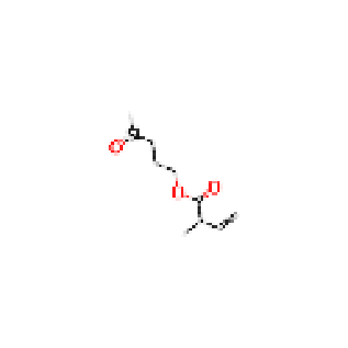 C=CC(C)C(=O)OCCC[Si](C)=O